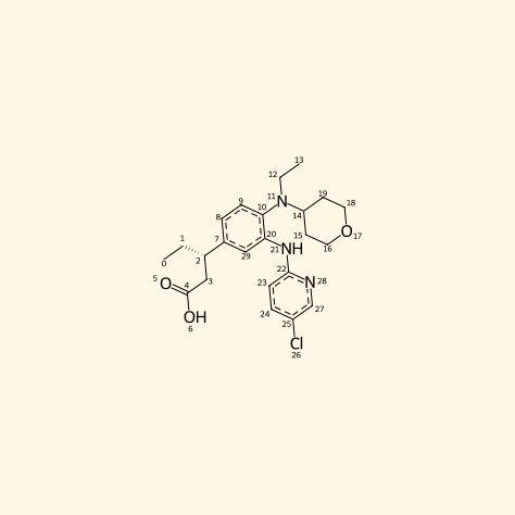 CC[C@@H](CC(=O)O)c1ccc(N(CC)C2CCOCC2)c(Nc2ccc(Cl)cn2)c1